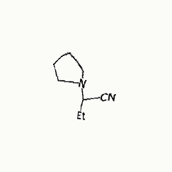 CCC(C#N)N1CCCC1